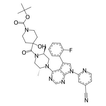 C[C@@H]1CN(C(=O)C2(O)CCN(C(=O)OC(C)(C)C)CC2)[C@@H](C)CN1c1ncnc2c1c(-c1ccccc1F)cn2-c1cc(C#N)ccn1